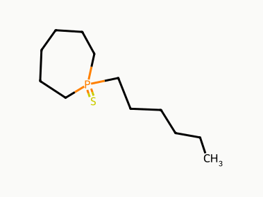 CCCCCCP1(=S)CCCCCC1